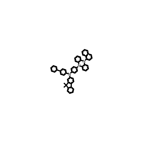 CC1(C)c2ccccc2-c2ccc(N(c3ccc(-c4ccccc4)cc3)c3ccc(N4c5ccccc5N(c5cccc6ccccc56)c5ccccc54)cc3)cc21